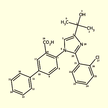 CC(C)(O)c1cn(-c2ccc(-c3ccccc3)cc2C(=O)O)c(-c2ccccc2Cl)n1